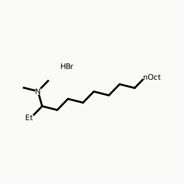 Br.CCCCCCCCCCCCCCCC(CC)N(C)C